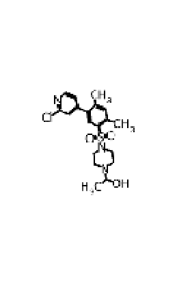 Cc1cc(C)c(S(=O)(=O)N2CCN(C(C)O)CC2)cc1-c1ccnc(Cl)c1